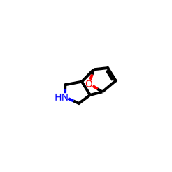 C1=CC2OC1C1CNCC21